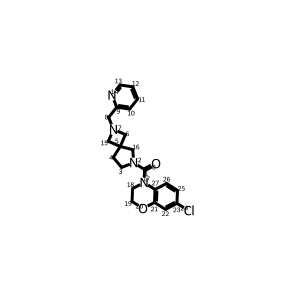 O=C(N1CCC2(CN(Cc3ccccn3)C2)C1)N1CCOc2cc(Cl)ccc21